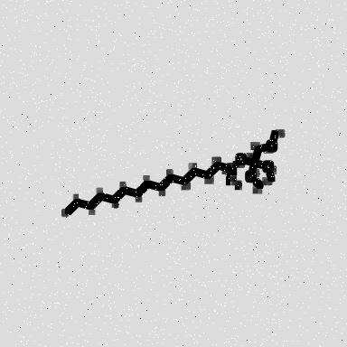 CCCCCCCCCCCCCC[SiH2]OC(COC)(OC)OC